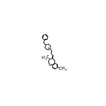 Cc1ccc2c(c1)C/C(=C/CCN1CCC(Cc3ccccc3)CC1)[C@@H](C)CS2